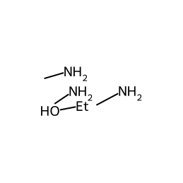 CCO.CN.CN.CN